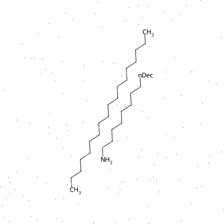 CCCCCCCCCCCCCCCCCC.CCCCCCCCCCCCCCCCCCN